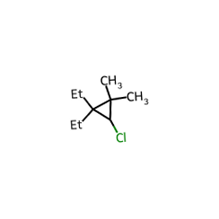 CCC1(CC)C(Cl)C1(C)C